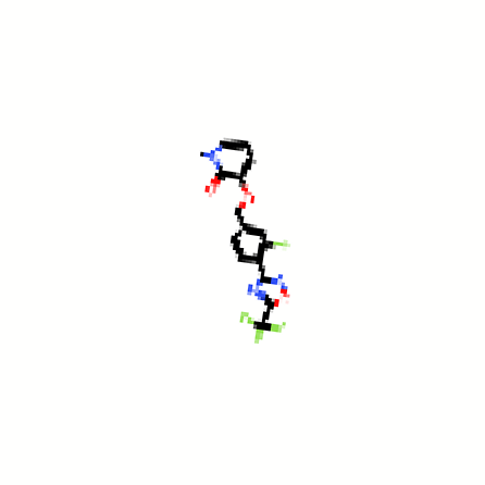 Cn1cccc(OCc2ccc(-c3noc(C(F)(F)F)n3)c(F)c2)c1=O